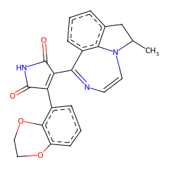 CC1Cc2cccc3c2N1C=CN=C3C1=C(c2cccc3c2OCCO3)C(=O)NC1=O